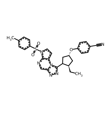 CC[C@@H]1C[C@@H](Oc2ccc(C#N)cc2)CC1c1nnc2cnc3c(ccn3S(=O)(=O)c3ccc(C)cc3)n12